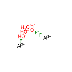 O.[Al+3].[Al+3].[F-].[F-].[F-].[OH-].[OH-].[OH-]